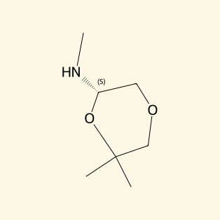 CN[C@@H]1COCC(C)(C)O1